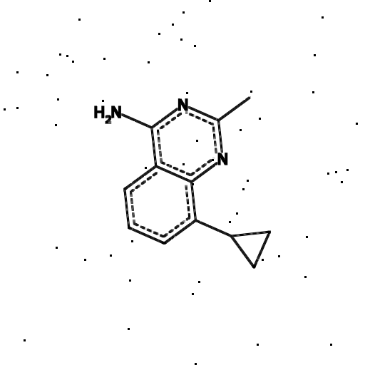 Cc1nc(N)c2cccc(C3CC3)c2n1